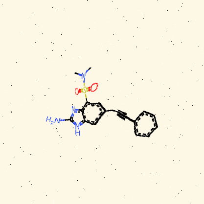 CN(C)S(=O)(=O)c1cc(C#Cc2ccccc2)cc2[nH]c(N)nc12